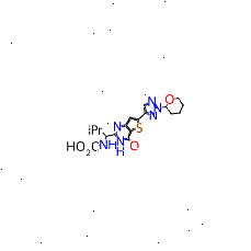 CC(C)[C@H](NC(=O)O)c1nc2cc(-c3cnn(C4CCCCO4)n3)sc2c(=O)[nH]1